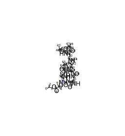 CC(C)COC(=O)C(C)(C)O/N=C(\C(=O)N[C@@H]1C(=O)N[C@@H]1CNC(=O)c1cnc(-c2cn(CCN(NC(=O)OC(C)(C)C)C(=O)OC(C)(C)C)[n+](C)c2)s1)c1csc(NC(=O)OC(C)(C)C)n1